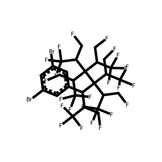 FCC(C(c1cc(Br)[c]c(Br)c1)C(C(CF)C(F)(F)F)(C(CF)C(F)(F)F)C(C(CF)C(F)(F)F)(C(CF)C(F)(F)F)C(CF)C(F)(F)F)C(F)(F)F